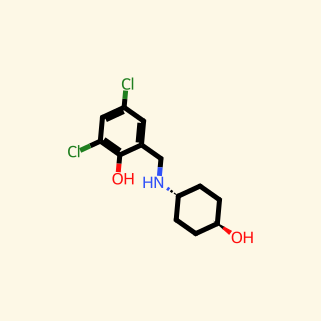 Oc1c(Cl)cc(Cl)cc1CN[C@H]1CC[C@H](O)CC1